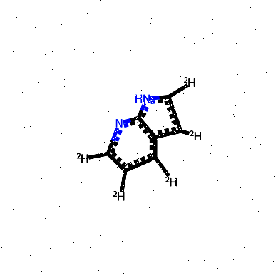 [2H]c1nc2[nH]c([2H])c([2H])c2c([2H])c1[2H]